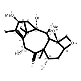 CO[C@H]1C[C@@]2(O)[C@@H](OC)C3C(C)(C(=O)[C@H](O)C(=C1C)C2(C)C)[C@@H](O)CC1OC[C@]13OC(C)=O